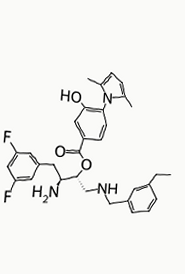 CCc1cccc(CNC[C@@H](OC(=O)c2ccc(-n3c(C)ccc3C)c(O)c2)[C@@H](N)Cc2cc(F)cc(F)c2)c1